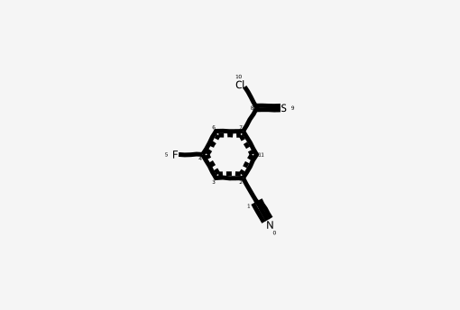 N#Cc1cc(F)cc(C(=S)Cl)c1